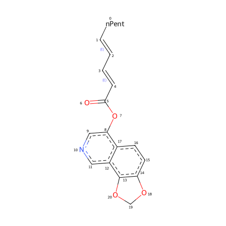 CCCCC/C=C/C=C/C(=O)Oc1cncc2c3c(ccc12)OCO3